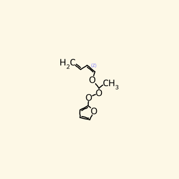 C=C/C=C\OC(C)OOc1ccco1